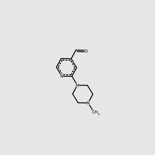 CN1CCN(c2cc(C=O)ccn2)CC1